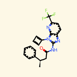 C[C@H](CC(=O)Nc1nc2ccc(C(F)(F)F)nc2n1C1=CC=C1)c1ccccc1